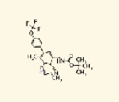 C=C/C=N\c1c(C)c(-c2ccc(OC(F)(F)F)cc2)cc(CNC(=O)OC(C)(C)C)c1C#N